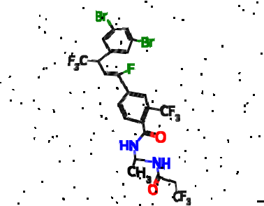 CC(NC(=O)CC(F)(F)F)NC(=O)c1ccc(/C(F)=C/C(c2cc(Br)cc(Br)c2)C(F)(F)F)cc1C(F)(F)F